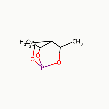 CC1OP2OC(C)C1C(C)O2